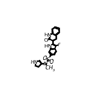 CN(C1CCNC1)S(=O)(=O)c1ccc2c(F)c(-c3cc4ccccc4[nH]c3=O)[nH]c2c1